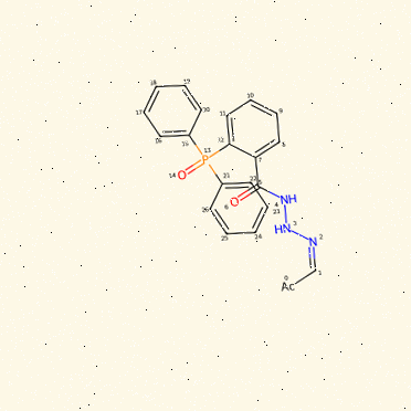 CC(=O)/C=N\NNC(=O)c1ccccc1P(=O)(c1ccccc1)c1ccccc1